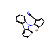 N#Cc1cccc(Br)c1-n1c2ccccc2c2ccccc21